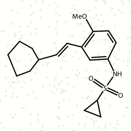 COc1ccc(NS(=O)(=O)C2CC2)cc1C=CC1CCCCC1